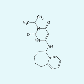 CC(C)n1c(=O)cc(NC2CCCCc3ccccc32)[nH]c1=O